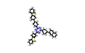 c1ccc2cc(-c3ccc(-c4nc(-c5ccc(-c6ccc7c(c6)sc6ccccc67)cc5)nc(-c5ccc6c(c5)sc5ccccc56)n4)cc3)ccc2c1